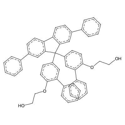 OCCOc1ccc(C2(c3ccc(OCCO)c(-c4ccccc4)c3)c3cc(-c4ccccc4)ccc3-c3ccc(-c4ccccc4)cc32)cc1-c1ccccc1